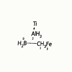 BC.[AlH3].[Fe].[Ti]